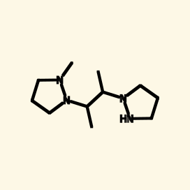 CC(C(C)N1CCCN1C)N1CCCN1